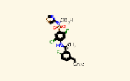 COCc1ccc(F)c([C@H](C)Nc2cc(F)c(S(=O)(=O)N(C(=O)O)c3cscn3)cc2Cl)c1